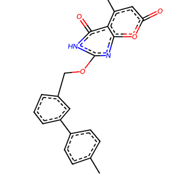 CCc1cc(=O)oc2nc(OCc3cccc(-c4ccc(C)cc4)c3)[nH]c(=O)c12